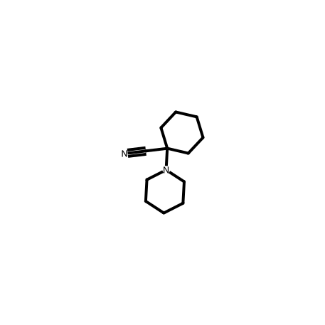 N#CC1(N2CCCCC2)CCCCC1